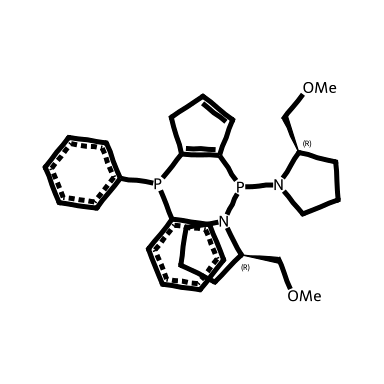 COC[C@H]1CCCN1P(C1=C(P(c2ccccc2)c2ccccc2)CC=C1)N1CCC[C@@H]1COC